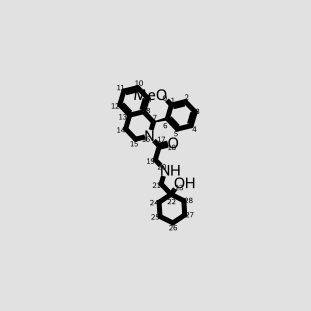 COc1ccccc1[C@@H]1c2ccccc2CCN1C(=O)CNCC1(O)CCCCC1